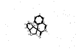 S=C1N=Cc2ccccc2C12COC1C=CC=NC12